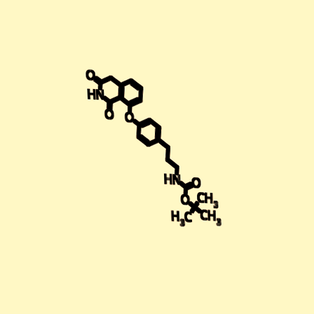 CC(C)(C)OC(=O)NCCCc1ccc(Oc2cccc3c2C(=O)NC(=O)C3)cc1